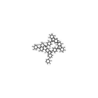 c1ccc(-c2ccc3c(c2)c2cc4c(cc2n3-c2ccc(-n3c5ccccc5c5ccccc53)cc2)N(c2ccc(-n3c5ccccc5c5ccccc53)cc2)c2cccc3c(-c5ccccc5)ccc-4c23)cc1